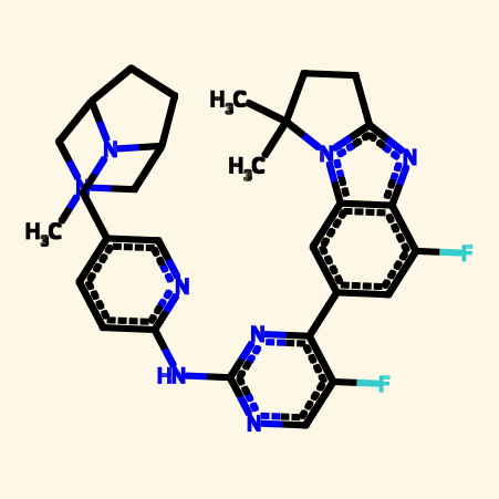 CN1CC2CCC(C1)N2Cc1ccc(Nc2ncc(F)c(-c3cc(F)c4nc5n(c4c3)C(C)(C)CC5)n2)nc1